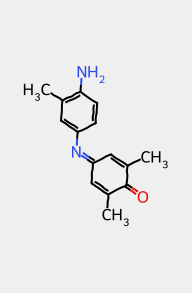 CC1=CC(=Nc2ccc(N)c(C)c2)C=C(C)C1=O